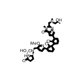 COc1nc(-c2cccc(-c3cccc(-c4cc5c(=O)n(C)c(CN(C)C[C@H](C)O)nn5c4)c3Cl)c2Cl)ccc1CN(C[C@@H]1CCC(=O)N1)C(=O)O